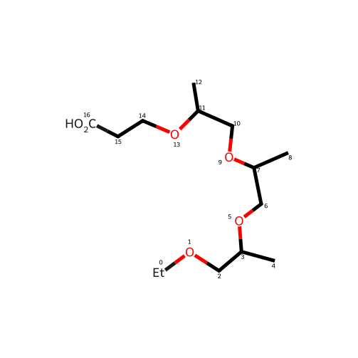 CCOCC(C)OCC(C)OCC(C)OCCC(=O)O